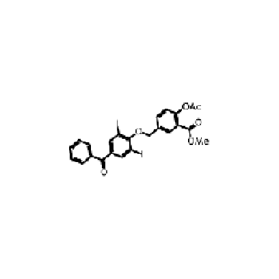 COC(=O)c1cc(COc2c(I)cc(C(=O)c3ccccc3)cc2I)ccc1OC(C)=O